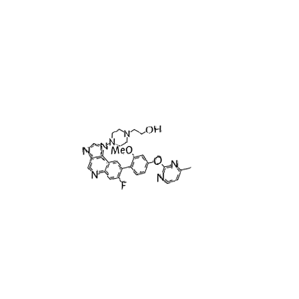 COc1cc(Oc2nccc(C)n2)ccc1-c1cc2c(cc1F)ncc1ncn(N3CCN(CCO)CC3)c12